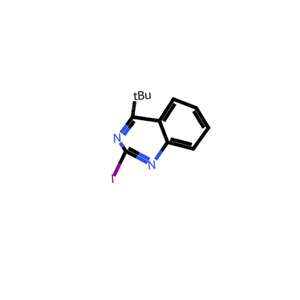 CC(C)(C)c1nc(I)nc2ccccc12